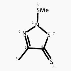 CSn1nc(C)c(=S)s1